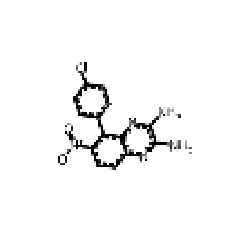 Nc1nc2ccc([N+](=O)[O-])c(-c3ccc(Cl)cc3)c2nc1N